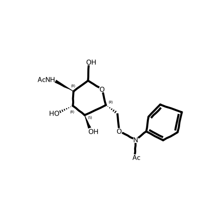 CC(=O)N[C@H]1C(O)O[C@H](CON(C(C)=O)c2ccccc2)[C@@H](O)[C@@H]1O